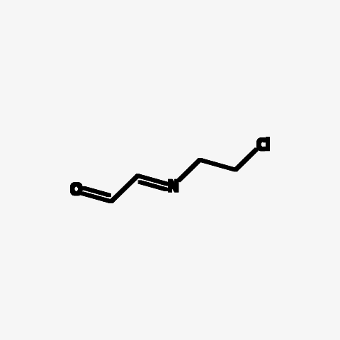 O=CC=NCCCl